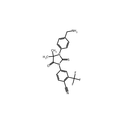 CC1(C)C(=O)N(c2ccc(C#N)c(C(F)(F)F)c2)C(=S)N1c1ccc(CN)cc1